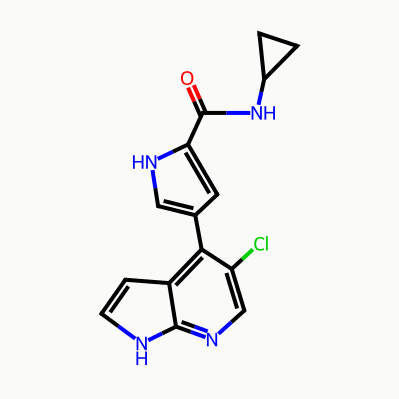 O=C(NC1CC1)c1cc(-c2c(Cl)cnc3[nH]ccc23)c[nH]1